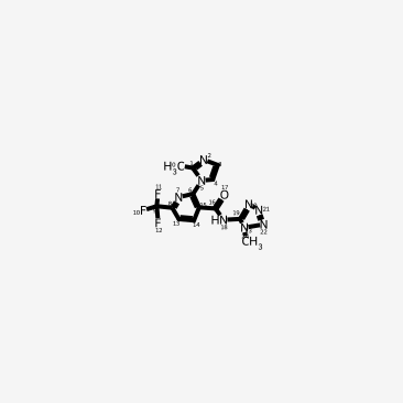 Cc1nccn1-c1nc(C(F)(F)F)ccc1C(=O)Nc1nnnn1C